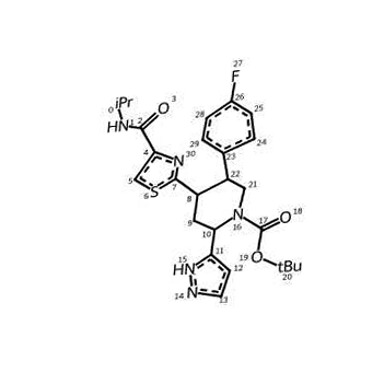 CC(C)NC(=O)c1csc(C2CC(c3ccn[nH]3)N(C(=O)OC(C)(C)C)CC2c2ccc(F)cc2)n1